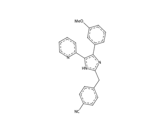 COc1cccc(-c2nc(Cc3ccc(C#N)cc3)[nH]c2-c2ccccn2)c1